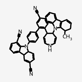 CC1CC=Cc2c1n(C1C=CNC=CC1c1ccc(C#N)cc1-c1ccc(N3c4c(C#N)cccc4C4C=C(C#N)C=CC43)cc1)c1ccccc21